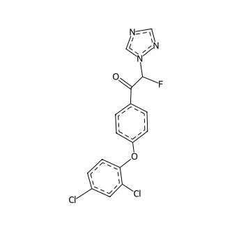 O=C(c1ccc(Oc2ccc(Cl)cc2Cl)cc1)C(F)n1cncn1